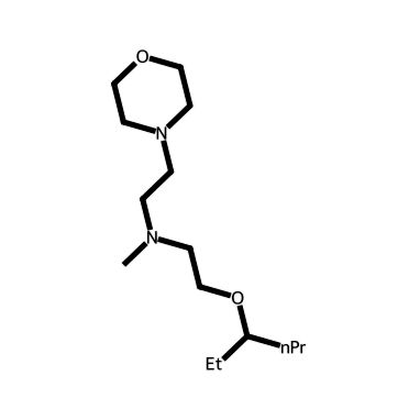 CCCC(CC)OCCN(C)CCN1CCOCC1